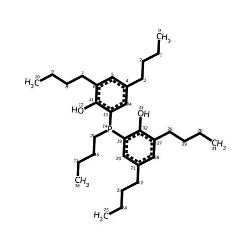 CCCCc1cc(CCCC)c(O)c(P(CCCC)c2cc(CCCC)cc(CCCC)c2O)c1